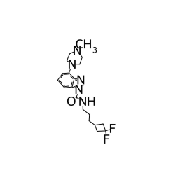 CN1CCN(c2cccc3c2ncn3C(=O)NCCCC2CC(F)(F)C2)CC1